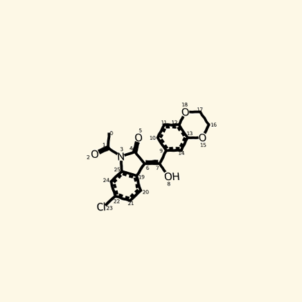 CC(=O)N1C(=O)C(=C(O)c2ccc3c(c2)OCCO3)c2ccc(Cl)cc21